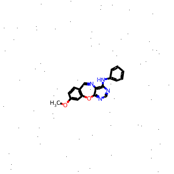 COc1ccc2c(c1)Oc1ncnc(Nc3ccccc3)c1N=C2